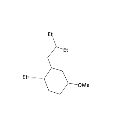 CCC(CC)CC1CC(OC)CC[C@@H]1CC